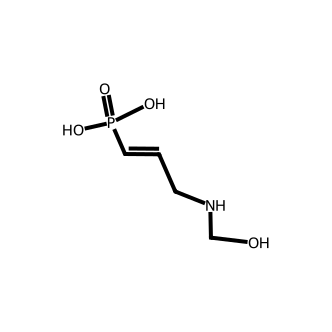 O=P(O)(O)C=CCNCO